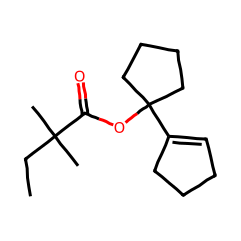 CCC(C)(C)C(=O)OC1(C2=CCCC2)CCCC1